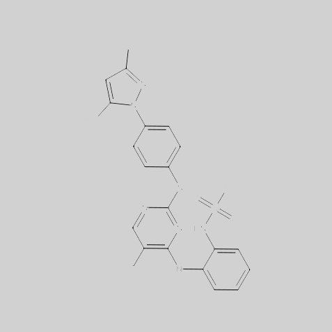 Cc1cc(C)n(-c2ccc(Nc3ncc(Cl)c(Nc4ccccc4NS(C)(=O)=O)n3)cc2)n1